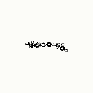 CCC(C)n1ncn(-c2ccc(N3CCN(c4ccc(OC[C@@H]5CO[C@@H](c6ccc(Cl)cc6Cl)O5)cc4)CC3)nc2)c1=O